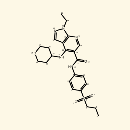 CCCS(=O)(=O)c1ccc(NC(=O)c2cnc3c(cnn3CC)c2NC2CCOCC2)cc1